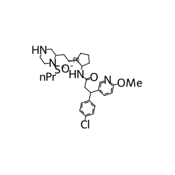 CCC[S+]([O-])N1CCNCC1CC[C@H]1CCCC1NC(=O)CC(c1ccc(Cl)cc1)c1ccc(OC)nc1